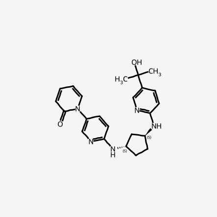 CC(C)(O)c1ccc(N[C@H]2CC[C@H](Nc3ccc(-n4ccccc4=O)cn3)C2)nc1